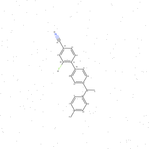 Cc1ccc(C(C)c2ccc(-c3ccc(C#N)cc3F)cc2)cc1